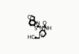 C#CCN1CCC2NC(=O)N(c3nc4c5c(ccc4s3)OCC5)C2C1